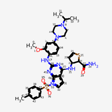 COc1cc(N2CCN(C(C)C)CC2)ccc1Nc1nc(NC2C=CSC2C(N)=O)c2ccn(S(=O)(=O)c3ccc(C)cc3)c2n1